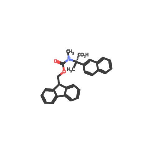 CN(C(=O)OCC1c2ccccc2-c2ccccc21)[C@@](C)(C(=O)O)c1ccc2ccccc2c1